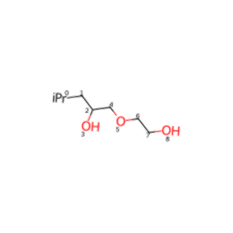 CC(C)CC(O)COCCO